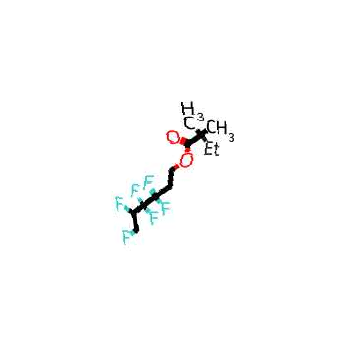 CCC(C)(C)C(=O)OCCC(F)(F)C(F)(F)C(F)CF